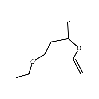 [CH2]C(CCOCC)OC=C